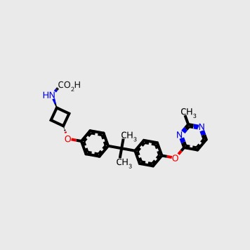 Cc1nccc(Oc2ccc(C(C)(C)c3ccc(O[C@H]4C[C@H](NC(=O)O)C4)cc3)cc2)n1